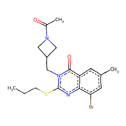 CCCSc1nc2c(Br)cc(C)cc2c(=O)n1CC1CN(C(C)=O)C1